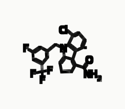 NC(=O)c1cccc2c1c1[c]ccc(Cl)c1n2Cc1cc(F)cc(C(F)(F)F)c1